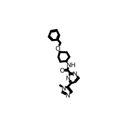 Cn1cncc1-c1ccnc(C(=O)NC2CCC(OCc3ccccc3)CC2)n1